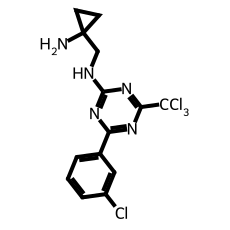 NC1(CNc2nc(-c3cccc(Cl)c3)nc(C(Cl)(Cl)Cl)n2)CC1